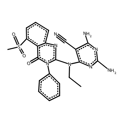 CCN(c1nc(N)nc(N)c1C#N)c1nc2cccc(S(C)(=O)=O)c2c(=O)n1-c1ccccc1